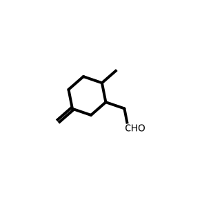 C=C1CCC(C)C(CC=O)C1